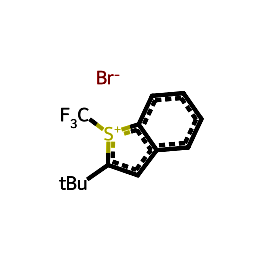 CC(C)(C)c1cc2ccccc2[s+]1C(F)(F)F.[Br-]